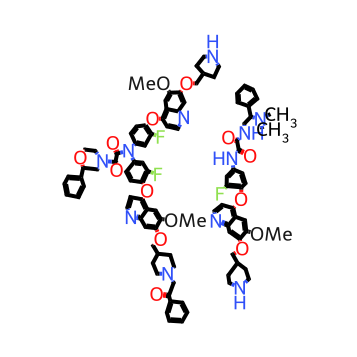 COc1cc2c(Oc3ccc(N(C(=O)C(=O)N4CCOC(c5ccccc5)C4)c4ccc(Oc5ccnc6cc(OCC7CCN(CC(=O)c8ccccc8)CC7)c(OC)cc56)c(F)c4)cc3F)ccnc2cc1OCC1CCNCC1.COc1cc2c(Oc3ccc(NC(=O)C(=O)NCC(c4ccccc4)N(C)C)cc3F)ccnc2cc1OCC1CCNCC1